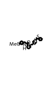 COc1ccc2cc(C(=O)N3CCCC[C@H]3CCN3CCN(c4csc5ccccc45)CC3)[nH]c2c1